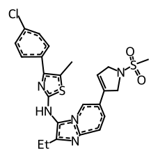 CCc1nc2ccc(C3=CCN(S(C)(=O)=O)C3)cn2c1Nc1nc(-c2ccc(Cl)cc2)c(C)s1